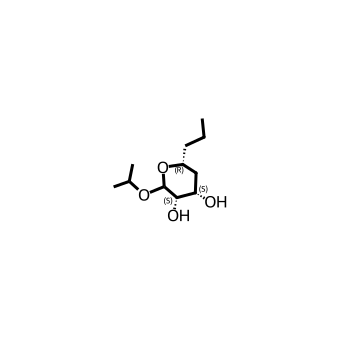 CCC[C@@H]1C[C@H](O)[C@H](O)C(OC(C)C)O1